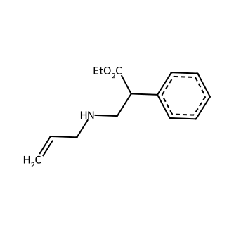 C=CCNCC(C(=O)OCC)c1ccccc1